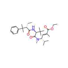 CCOC(=O)/C(C)=C/[C@H](C(C)C)N(C)C(=O)[C@@H](NC(=O)[C@@H](CC)C(C)(C)c1ccccc1)C(C)(C)C